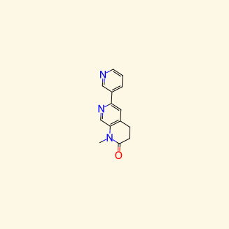 CN1C(=O)CCc2cc(-c3cccnc3)ncc21